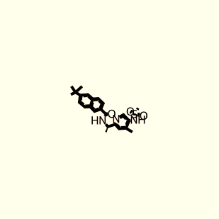 Cc1cc([C@@H](C)NC(=O)c2ccc3cc(C(C)(C)C)ccc3c2)ncc1NS(C)(=O)=O